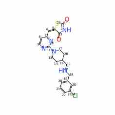 O=C1NC(=O)/C(=C\c2ccnc(N3CCC(CNCc4cccc(Cl)c4)CC3)n2)S1